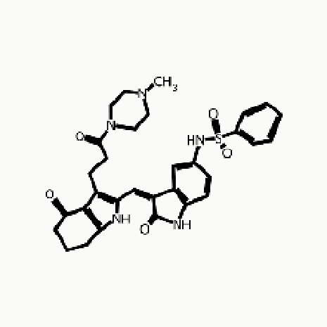 CN1CCN(C(=O)CCc2c(C=C3C(=O)Nc4ccc(NS(=O)(=O)c5ccccc5)cc43)[nH]c3c2C(=O)CCC3)CC1